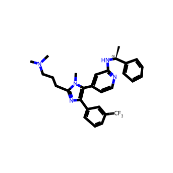 C[C@H](Nc1cc(-c2c(-c3cccc(C(F)(F)F)c3)nc(CCCN(C)C)n2C)ccn1)c1ccccc1